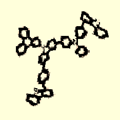 c1ccc(N(c2ccc(-c3ccc4c(c3)c3cc(-c5ccc(-c6cccc7c6sc6ccccc67)cc5)ccc3n4-c3ccc4c5ccccc5c5ccccc5c4c3)cc2)c2ccc(-c3cccc4sc5ccccc5c34)cc2)cc1